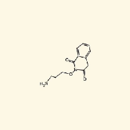 NCCCON1C(=O)Cc2ccccc2C1=O